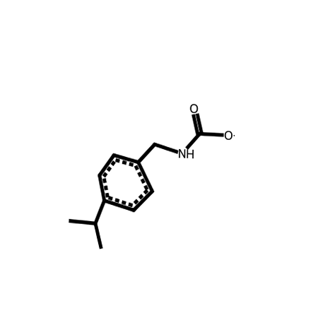 CC(C)c1ccc(CNC([O])=O)cc1